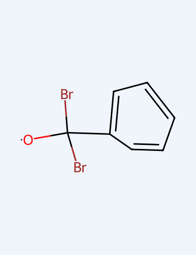 [O]C(Br)(Br)c1ccccc1